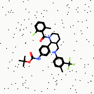 Cc1ccc(NCC2CCCN(C(=O)c3c(C)cccc3F)C2c2ccc(NC(=O)OC(C)(C)C)cc2)cc1C(F)(F)F